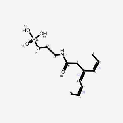 C\C=C/C=C(\C=C/C)CC(=O)NCCOP(=O)(O)O